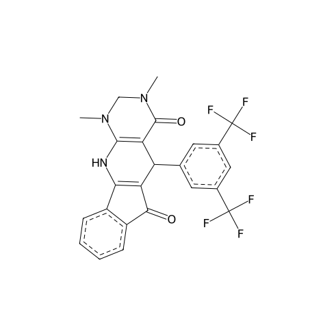 CN1CN(C)C2=C(C1=O)C(c1cc(C(F)(F)F)cc(C(F)(F)F)c1)C1=C(N2)c2ccccc2C1=O